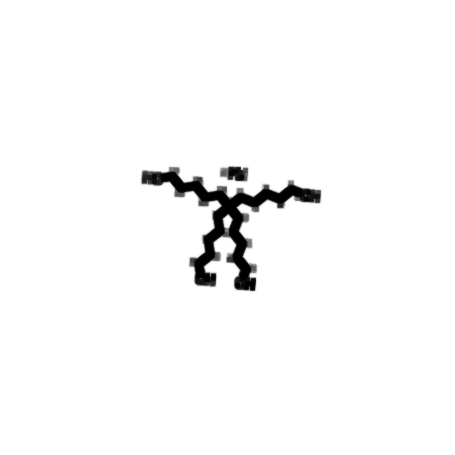 OCCCCCC(CCCCCO)(CCCCCO)CCCCCO.[Pb]